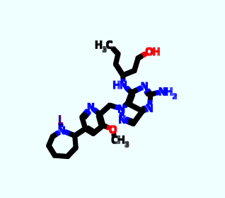 CCCC(CCO)Nc1nc(N)nc2cnn(Cc3ncc(C4CCCCCN4I)cc3OC)c12